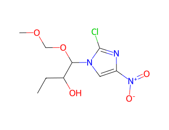 CCC(O)C(OCOC)n1cc([N+](=O)[O-])nc1Cl